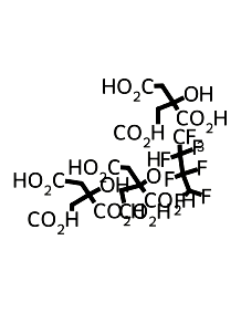 FC(F)C(F)(F)C(F)(F)C(F)(F)F.O=C(O)CC(O)(CC(=O)O)C(=O)O.O=C(O)CC(O)(CC(=O)O)C(=O)O.O=C(O)CC(O)(CC(=O)O)C(=O)O